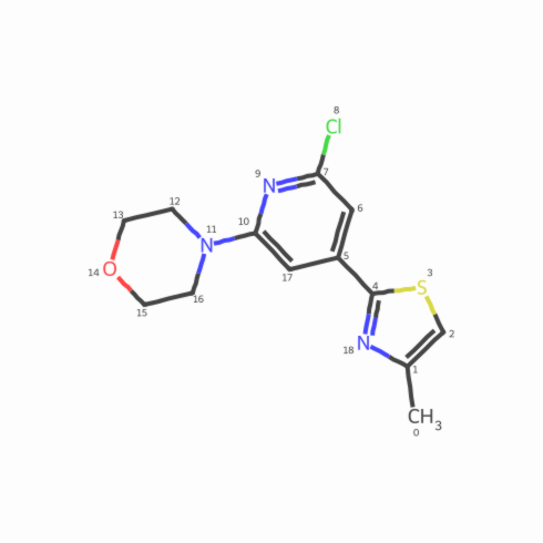 Cc1csc(-c2cc(Cl)nc(N3CCOCC3)c2)n1